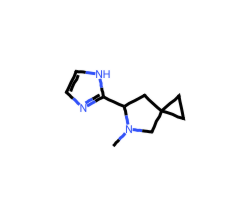 CN1CC2(CC2)CC1c1ncc[nH]1